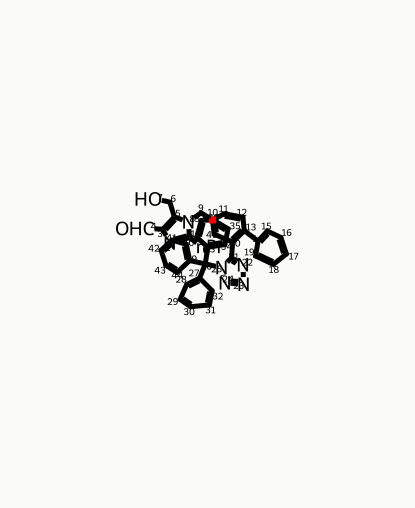 CCCc1nc(C=O)c(CO)n1Cc1ccc(-c2ccccc2)c(-c2nnnn2C(c2ccccc2)(c2ccccc2)c2ccccc2)c1